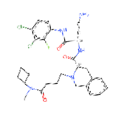 CN(C(=O)CCCN1Cc2ccccc2C[C@H]1C(=O)N[C@@H](CCN)C(=O)Nc1ccc(Cl)c(Cl)c1F)C1CCC1